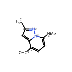 CNc1ccc(C=O)c2cc(C(F)(F)F)nn12